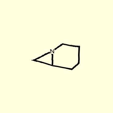 [CH]1C2CCCCN12